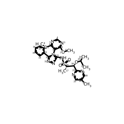 COc1ncnc(OC)c1-n1c(NS(=O)(=O)[C@@H](C)[C@@H](OC(C)C)c2ncc(C)cn2)nnc1-c1ccccc1